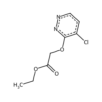 CCOC(=O)COc1nnccc1Cl